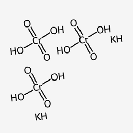 [KH].[KH].[O]=[Cr](=[O])([OH])[OH].[O]=[Cr](=[O])([OH])[OH].[O]=[Cr](=[O])([OH])[OH]